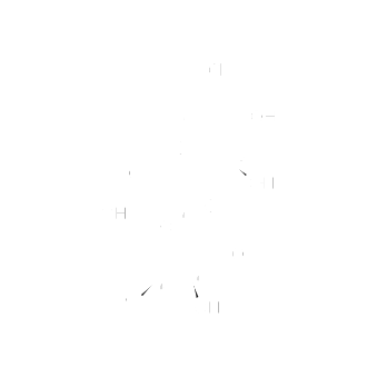 OCC1O[C@H](O[C@@]2(CCl)O[C@H](CCl)C(O)[C@H]2O)C(O)[C@@H](O)[C@H]1Cl